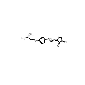 CCN1CSC(=C=CNc2ccc(OCCN(C)C)cc2)C1=O